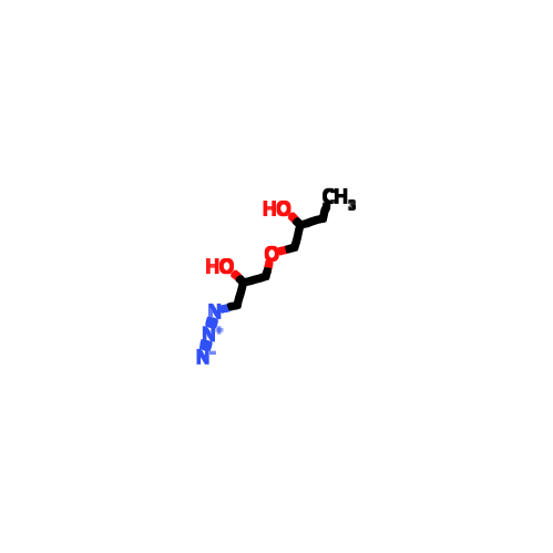 CCC(O)COCC(O)CN=[N+]=[N-]